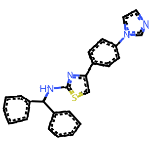 c1ccc(C(Nc2nc(-c3ccc(-n4ccnc4)cc3)cs2)c2ccccc2)cc1